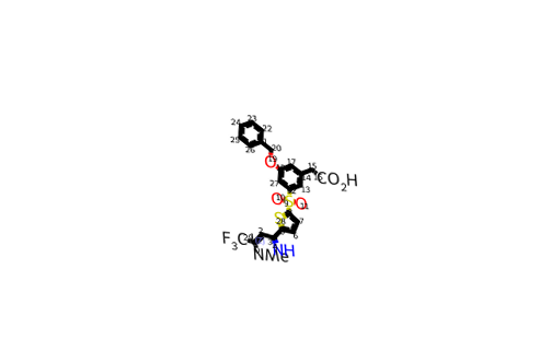 CN/C(=C\C(=N)c1ccc(S(=O)(=O)c2cc(CC(=O)O)cc(OCc3ccccc3)c2)s1)C(F)(F)F